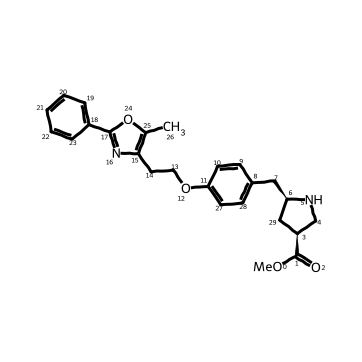 COC(=O)[C@@H]1CN[C@H](Cc2ccc(OCCc3nc(-c4ccccc4)oc3C)cc2)C1